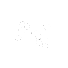 CCOc1ccc(B2N=c3/c(=C4\C(=O)C(c5ccc6cccc7c6c5NB(c5ccc(OCC)cc5)N7)=C4O)ccc4cccc(c34)N2)cc1